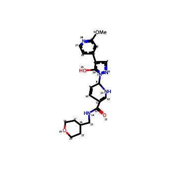 COc1cc(-c2cnn(C3C=CC(C(=O)NCC4CCOCC4)=CN3)c2O)ccn1